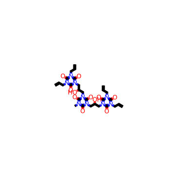 C=CCn1c(=O)n(CC=C)c(=O)n(CC(O)Cn2c(=O)n(C)c(=O)n(CC(O)Cn3c(=O)n(CC=C)c(=O)n(CC=C)c3=O)c2=O)c1=O